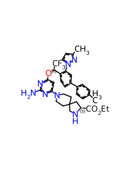 CCOC(=O)[C@@H]1CC2(CCN(c3cc(O[C@H](c4ccc(-c5ccc(C)cc5)cc4-n4ccc(C)n4)C(F)(F)F)nc(N)n3)CC2)CN1